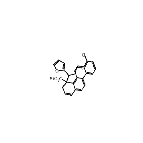 CCOC(=O)C1(C(CCBr)c2ccco2)CC=Cc2ccc3c(c21)CCc1c(Cl)cccc1-3